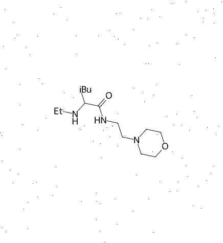 CCNC(C(=O)NCCN1CCOCC1)C(C)CC